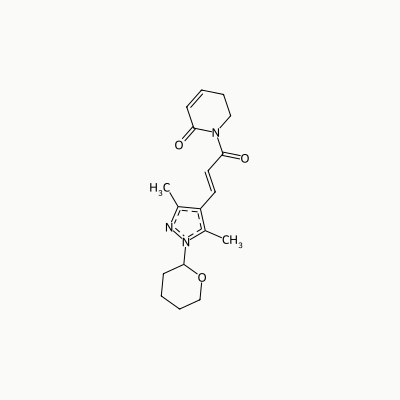 Cc1nn(C2CCCCO2)c(C)c1/C=C/C(=O)N1CCC=CC1=O